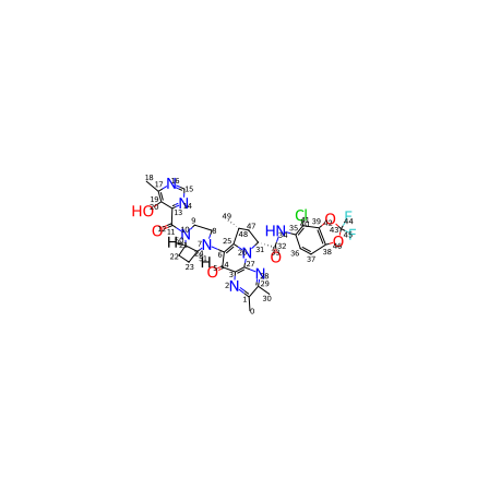 Cc1nc2c(=O)c(N3CCN(C(=O)c4ncnc(C)c4O)[C@H]4CC[C@@H]43)c3n(c2nc1C)[C@@H](C(=O)Nc1ccc2c(c1Cl)OC(F)(F)O2)C[C@H]3C